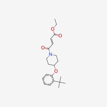 CCOC(=O)/C=C/C(=O)N1CCC(Oc2ccccc2C(C)(C)C)CC1